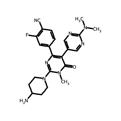 CN(C)c1ncc(-c2c(-c3ccc(C#N)c(F)c3)nc(N3CCC(N)CC3)n(C)c2=O)cn1